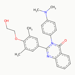 Cc1cc(-c2nc3ccccc3c(=O)n2-c2ccc(N(C)C)cc2)cc(C)c1OCCO